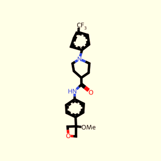 COC1(c2ccc(NC(=O)C3CCN(c4ccc(C(F)(F)F)cc4)CC3)cc2)COC1